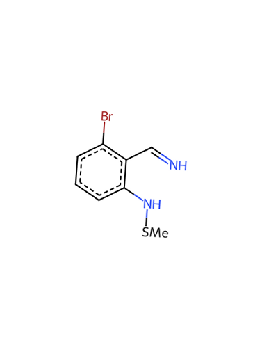 CSNc1cccc(Br)c1C=N